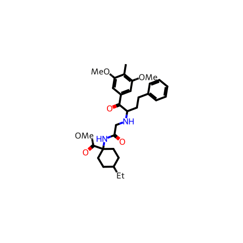 CCC1CCC(NC(=O)CNC(CCc2ccccc2)C(=O)c2cc(OC)c(C)c(OC)c2)(C(=O)OC)CC1